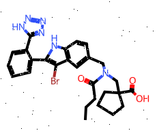 CCCC(=O)N(Cc1ccc2[nH]c(-c3ccccc3-c3nnn[nH]3)c(Br)c2c1)CC1(C(=O)O)CCCC1